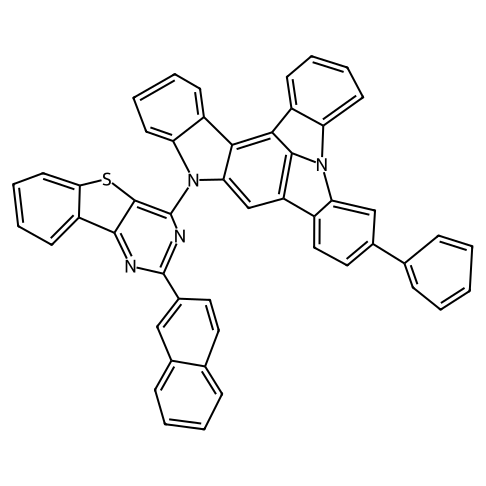 c1ccc(-c2ccc3c4cc5c(c6ccccc6n5-c5nc(-c6ccc7ccccc7c6)nc6c5sc5ccccc56)c5c6ccccc6n(c3c2)c45)cc1